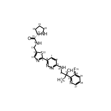 CC(C)(CNc1ccc(-c2ncc(CNC(=O)[C@@H]3CCCN3)s2)nn1)c1ncccc1F